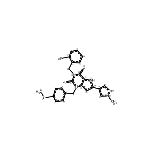 COc1ccc(Cn2c(=O)n(Cc3ccccc3F)c(=O)c3[nH]c(-c4cnn(C)c4)cc32)cc1